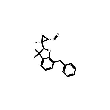 CC1(C)c2cccc(Cc3ccccc3)c2OC1[C@@]1(C)C[C@@H]1C=O